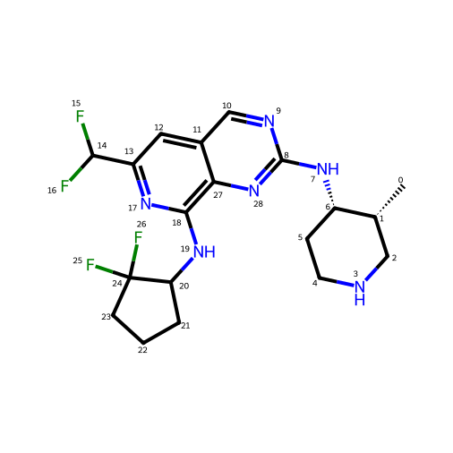 C[C@@H]1CNCC[C@@H]1Nc1ncc2cc(C(F)F)nc(NC3CCCC3(F)F)c2n1